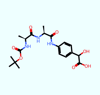 C[C@H](NC(=O)OC(C)(C)C)C(=O)N[C@@H](C)C(=O)Nc1ccc(C(O)C(=O)O)cc1